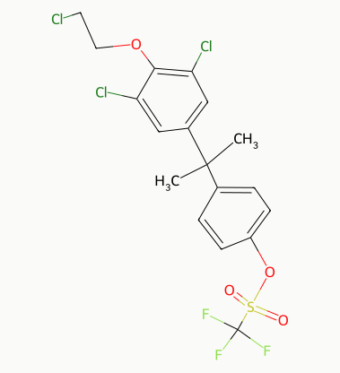 CC(C)(c1ccc(OS(=O)(=O)C(F)(F)F)cc1)c1cc(Cl)c(OCCCl)c(Cl)c1